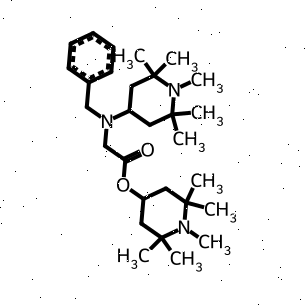 CN1C(C)(C)CC(OC(=O)CN(Cc2ccccc2)C2CC(C)(C)N(C)C(C)(C)C2)CC1(C)C